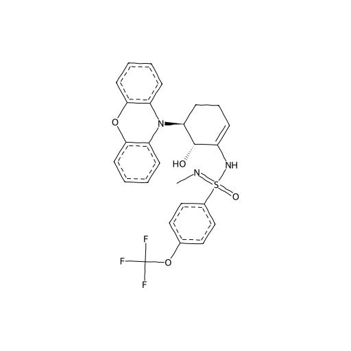 CN=S(=O)(NC1=CCC[C@H](N2c3ccccc3Oc3ccccc32)[C@H]1O)c1ccc(OC(F)(F)F)cc1